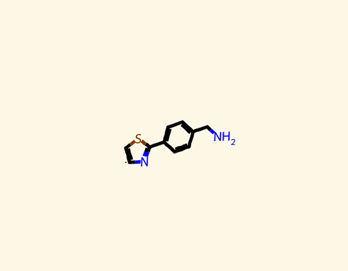 NCc1ccc(-c2n[c]cs2)cc1